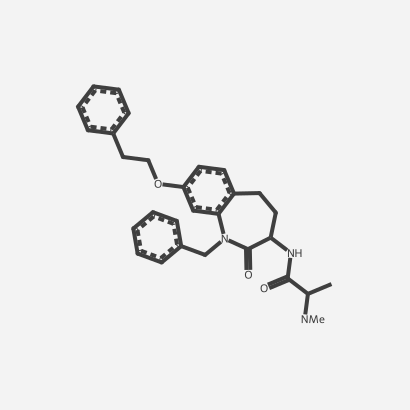 CNC(C)C(=O)NC1CCc2ccc(OCCc3ccccc3)cc2N(Cc2ccccc2)C1=O